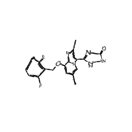 Cc1cc(OCc2c(F)cccc2F)c2nc(C)c(-c3nc(=O)[nH][nH]3)n2c1